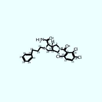 NC(=O)C1[C@@H]2CN(C(=O)c3c(Cl)ccc(Cl)c3Cl)CC2CN1CC[CH]c1ccccc1